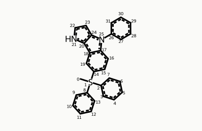 CS(c1ccccc1)(c1ccccc1)c1ccc2c(c1)c1[nH]ccc1n2-c1ccccc1